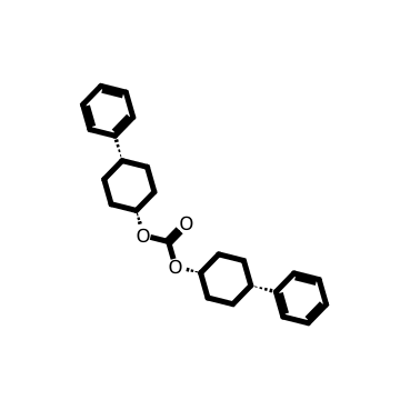 O=C(O[C@H]1CC[C@@H](c2ccccc2)CC1)O[C@H]1CC[C@@H](c2ccccc2)CC1